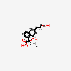 CC(O)(C(=O)O)c1cccc2c1CCC(CCCO)C2